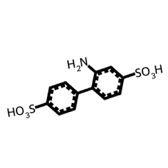 Nc1cc(S(=O)(=O)O)ccc1-c1ccc(S(=O)(=O)O)cc1